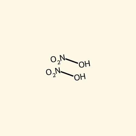 O=[N+]([O-])O.O=[N+]([O-])O